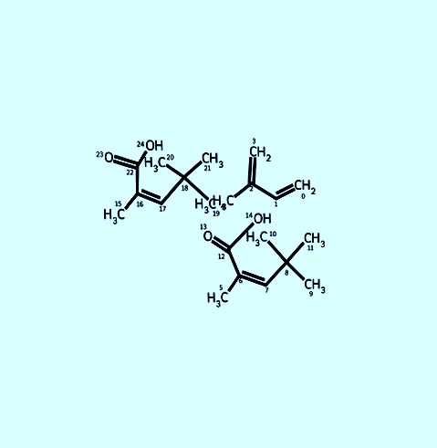 C=CC(=C)C.CC(=CC(C)(C)C)C(=O)O.CC(=CC(C)(C)C)C(=O)O